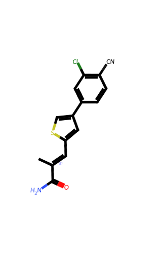 C/C(=C\c1cc(-c2ccc(C#N)c(Cl)c2)cs1)C(N)=O